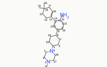 CN1CCN(C2CCC(c3ccc(N)c(C4=CCC(C)(C)CC4)c3)CC2)CC1